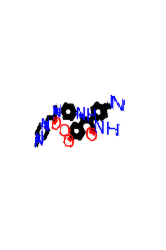 CN1CCN(CC(=O)N(C)c2ccc(NC(=C3C(=O)Nc4cc(C#N)ccc43)c3ccc4c(c3)OCO4)cc2)CC1